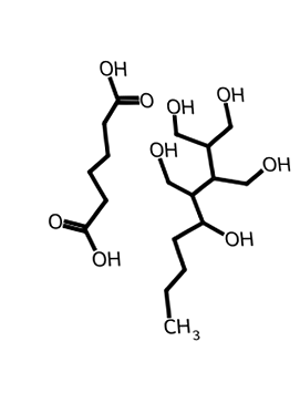 CCCCC(O)C(CO)C(CO)C(CO)CO.O=C(O)CCCCC(=O)O